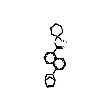 CC1(OC(=O)c2cccc3c(C4CC5C=CC4C5)cccc23)CCCCC1